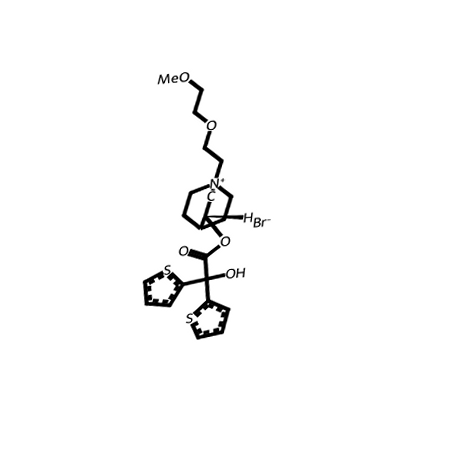 COCCOCC[N+]12CCC(CC1)[C@@H](OC(=O)C(O)(c1cccs1)c1cccs1)C2.[Br-]